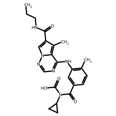 CCCNC(=O)c1cn2ncnc(Nc3cc(C(=O)N(C(=O)O)C4CC4)ccc3C)c2c1C